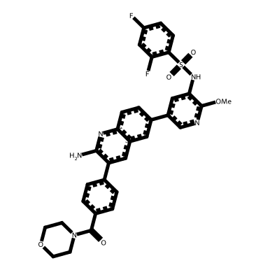 COc1ncc(-c2ccc3nc(N)c(-c4ccc(C(=O)N5CCOCC5)cc4)cc3c2)cc1NS(=O)(=O)c1ccc(F)cc1F